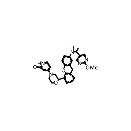 COc1ncc(C(C)Nc2ccc3c(c2)Cc2cccc(C4CN(c5cc[nH]c(=O)c5)CCO4)c2O3)cn1